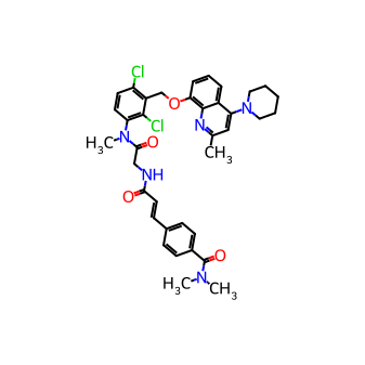 Cc1cc(N2CCCCC2)c2cccc(OCc3c(Cl)ccc(N(C)C(=O)CNC(=O)/C=C/c4ccc(C(=O)N(C)C)cc4)c3Cl)c2n1